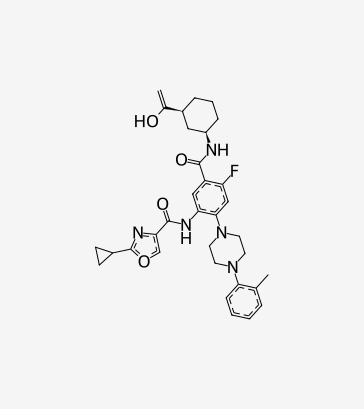 C=C(O)[C@H]1CCC[C@@H](NC(=O)c2cc(NC(=O)c3coc(C4CC4)n3)c(N3CCN(c4ccccc4C)CC3)cc2F)C1